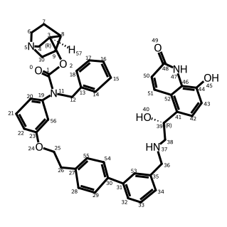 O=C(O[C@H]1CN2CCC1CC2)N(Cc1ccccc1)c1cccc(OCCc2ccc(-c3cccc(CNC[C@H](O)c4ccc(O)c5[nH]c(=O)ccc45)c3)cc2)c1